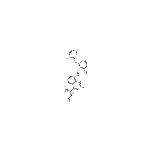 C=C/C=C(/c1cc(C)nc2c(OCc3c(Cl)cncc3Cn3cc(C)ccc3=O)cccc12)N(C)C